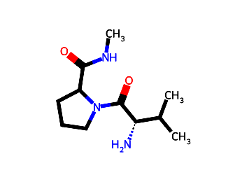 CNC(=O)C1CCCN1C(=O)[C@@H](N)C(C)C